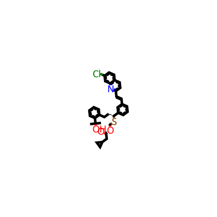 CC(C)(O)c1ccccc1CC[C@@H](SCOC(=O)CC1CC1)c1cccc(/C=C/c2ccc3ccc(Cl)cc3n2)c1